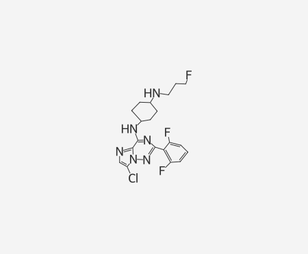 FCCCNC1CCC(Nc2nc(-c3c(F)cccc3F)nn3c(Cl)cnc23)CC1